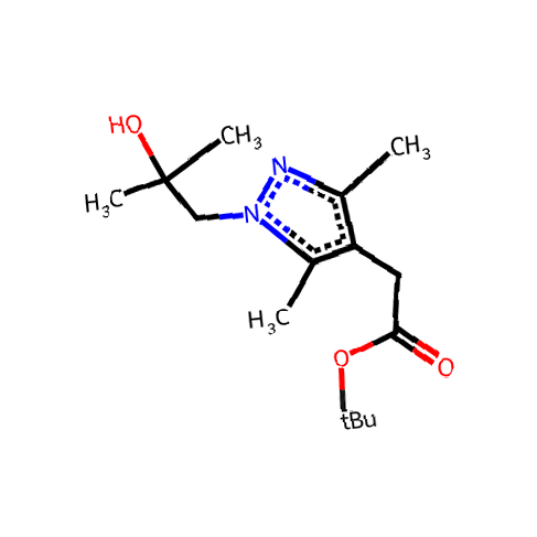 Cc1nn(CC(C)(C)O)c(C)c1CC(=O)OC(C)(C)C